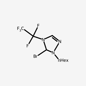 CCCCCCN1N=CN(C(F)(F)C(F)(F)F)C1Br